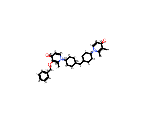 Cc1c(C)n(C2CCC(CC3CCC(n4ccc(=O)c(OCc5ccccc5)c4C)CC3)CC2)ccc1=O